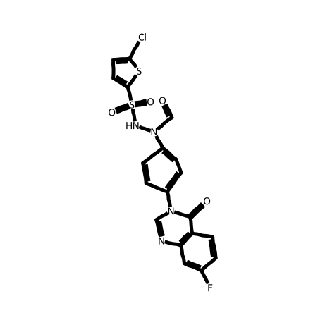 O=CN(NS(=O)(=O)c1ccc(Cl)s1)c1ccc(-n2cnc3cc(F)ccc3c2=O)cc1